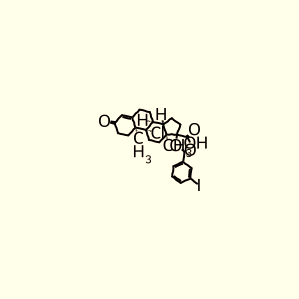 C[C@]12CC[C@]3(Cl)[C@@H](CCC4=CC(=O)CC[C@@]43C)[C@@H]1CCC2(OC(=O)c1cccc(I)c1)C(=O)O